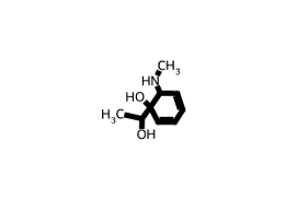 CNC1C=CC=CC1(O)C(C)O